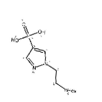 CCCCCCCCn1cc(P(=O)(O)O)cn1